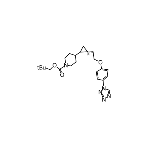 CC(C)(C)COC(=O)N1CCC(C2C[C@H]2CCOc2ccc(-n3cnnn3)cc2)CC1